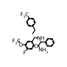 NC(=O)[C@H](N[C@@H](CCc1ccc(C(F)(F)F)cc1)c1ccc(F)c(OC(F)(F)F)c1)c1ccccc1